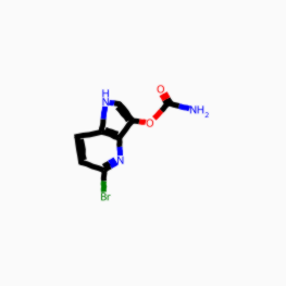 NC(=O)Oc1c[nH]c2ccc(Br)nc12